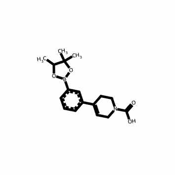 CC1OB(c2cccc(C3=CCN(C(=O)O)CC3)c2)OC1(C)C